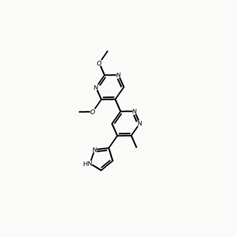 COc1ncc(-c2cc(-c3cc[nH]n3)c(C)nn2)c(OC)n1